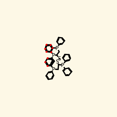 c1ccc(P(CC(SSC(CP(c2ccccc2)c2ccccc2)P(c2ccccc2)c2ccccc2)P(c2ccccc2)c2ccccc2)c2ccccc2)cc1